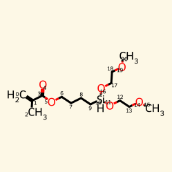 C=C(C)C(=O)OCCCC[SiH](OCCOC)OCCOC